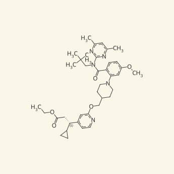 CCOC(=O)C[C@H](c1ccnc(OCC2CCN(c3cc(OC)ccc3C(=O)N(CC(C)(C)C)c3nc(C)cc(C)n3)CC2)c1)C1CC1